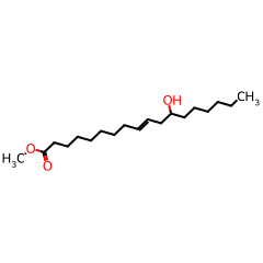 CCCCCCC(O)CC=CCCCCCCCC(=O)OC